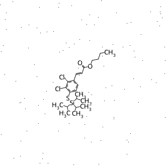 CCCCOC(=O)C=Cc1ccc(S[Si](C(C)C)(C(C)C)C(C)C)c(Cl)c1Cl